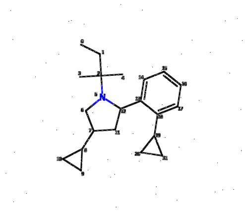 CCC(C)(C)N1CC(C2CC2)CC1c1ccccc1C1CC1